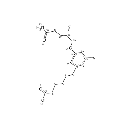 Cc1cc(CCCCCC(=O)O)cc(OC[C@@H](C)CCC(N)=O)c1